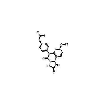 CCOc1ccc2c3[nH]c(=O)[nH]c3c(=O)n(-c3ccc(OC(F)F)cc3)c2n1